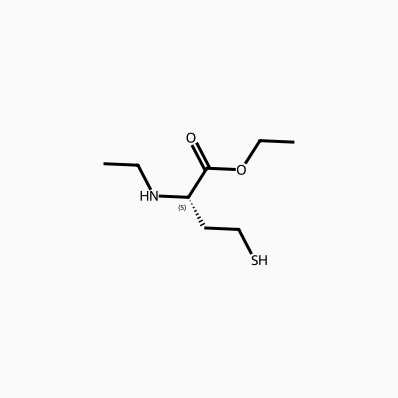 CCN[C@@H](CCS)C(=O)OCC